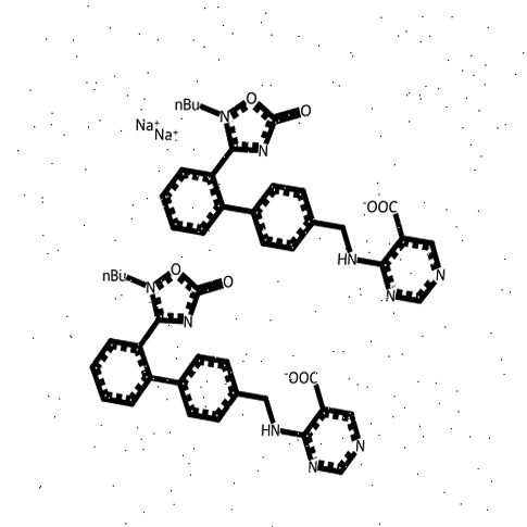 CCCCn1oc(=O)nc1-c1ccccc1-c1ccc(CNc2ncncc2C(=O)[O-])cc1.CCCCn1oc(=O)nc1-c1ccccc1-c1ccc(CNc2ncncc2C(=O)[O-])cc1.[Na+].[Na+]